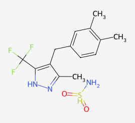 Cc1ccc(Cc2c(C)n[nH]c2C(F)(F)F)cc1C.N[SH](=O)=O